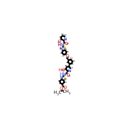 CC(C)OC(=O)c1ccc2nc(NC(=O)c3ncc(-c4cccc(COc5ccc6nc(NC(=O)c7ncccc7O)sc6c5)c4)cc3O)sc2c1